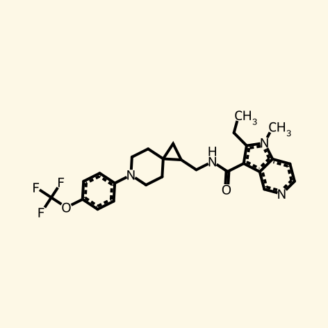 CCc1c(C(=O)NCC2CC23CCN(c2ccc(OC(F)(F)F)cc2)CC3)c2cnccc2n1C